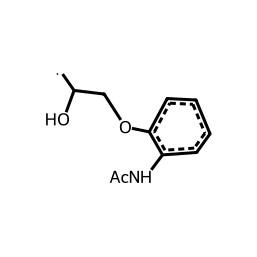 [CH2]C(O)COc1ccccc1NC(C)=O